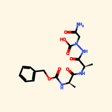 C[C@H](NC(=O)OCc1ccccc1)C(=O)N[C@@H](C)C(=O)NN(CC(N)=O)C(=O)O